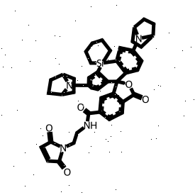 O=C(NCCN1C(=O)C=CC1=O)c1ccc2c(c1)C1(OC2=O)c2ccc(N3C4CCC3CC4)cc2[Si]2(CCCCC2)c2cc(N3C4CCC3CC4)ccc21